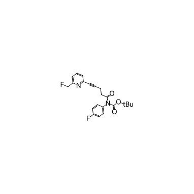 CC(C)(C)OC(=O)N(C(=O)CCC#Cc1cccc(CF)n1)c1ccc(F)cc1